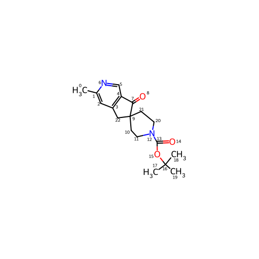 Cc1cc2c(cn1)C(=O)C1(CCN(C(=O)OC(C)(C)C)CC1)C2